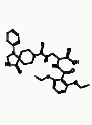 CCOc1cccc(OCC)c1C(=O)NC(CNC(=O)N1CCC2(CC1)C(=O)NCN2c1ccccc1)C(=O)O